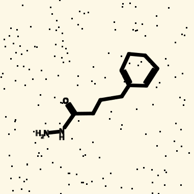 NNC(=O)CCCC1=CCCC=C1